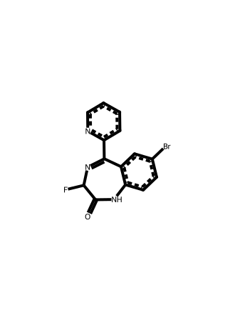 O=C1Nc2ccc(Br)cc2C(c2ccccn2)=NC1F